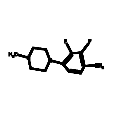 CN1CCN(c2ccc(N)c(F)c2F)CC1